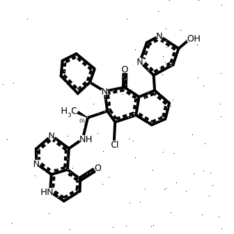 C[C@H](Nc1ncnc2[nH]ccc(=O)c12)c1c(Cl)c2cccc(-c3cc(O)ncn3)c2c(=O)n1-c1ccccc1